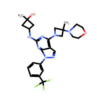 CC1(O)CC(Nc2nc(N3CC(C)(N4CCOCC4)C3)c3cnn(-c4cccc(C(F)(F)F)c4)c3n2)C1